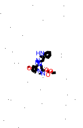 CCOC(=O)Oc1ncn2c1Cn1c(Cc3c[nH]c4ccccc34)nnc1-c1cc(OC)ccc1-2